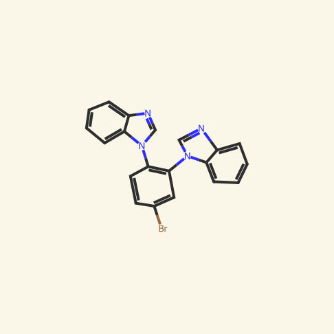 Brc1ccc(-n2cnc3ccccc32)c(-n2cnc3ccccc32)c1